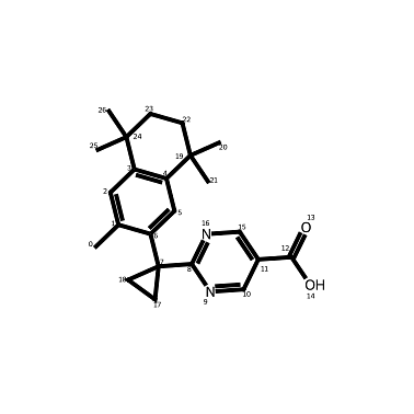 Cc1cc2c(cc1C1(c3ncc(C(=O)O)cn3)CC1)C(C)(C)CCC2(C)C